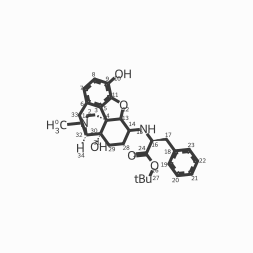 CN1CC[C@]23c4c5ccc(O)c4OC2C(N[C@@H](Cc2ccccc2)C(=O)OC(C)(C)C)CC[C@@]3(O)[C@H]1C5